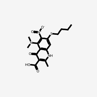 CCCCSc1cc2[nH]c(C)c(C(=O)O)c(=O)c2c(N(C)C)c1[N+](=O)[O-]